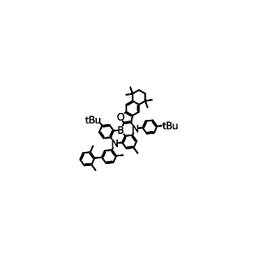 Cc1cc2c3c(c1)N(c1ccc(C(C)(C)C)cc1)c1c(oc4cc5c(cc14)C(C)(C)CCC5(C)C)B3c1cc(C(C)(C)C)ccc1N2c1cc(-c2c(C)cccc2C)ccc1C